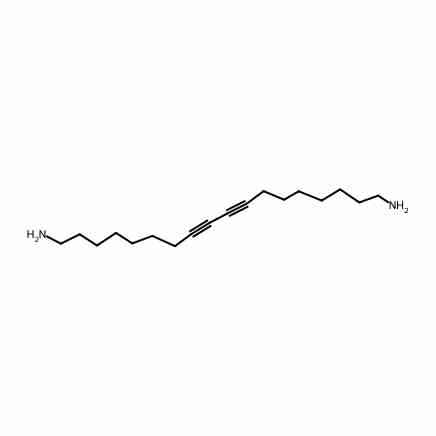 NCCCCCCCC#CC#CCCCCCCCN